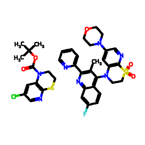 CC(C)(C)OC(=O)N1CCSc2ncc(Cl)cc21.Cc1c(-c2ccccn2)nc2cc(F)ccc2c1N1CCS(=O)(=O)c2ncc(N3CCOCC3)cc21